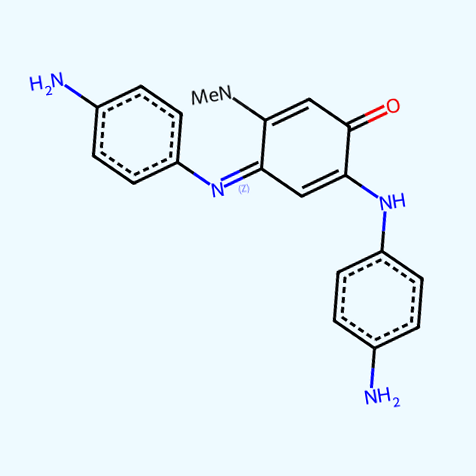 CNC1=CC(=O)C(Nc2ccc(N)cc2)=C/C1=N/c1ccc(N)cc1